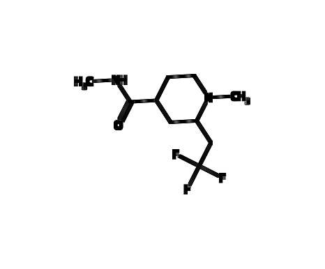 CNC(=O)C1CCN(C)C(CC(F)(F)F)C1